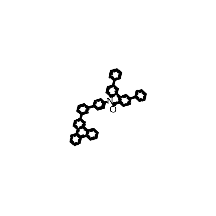 O=c1c2ccc(-c3ccccc3)cc2c2cc(-c3ccccc3)ccc2n1-c1ccc(-c2cccc(-c3ccc4c5ccccc5c5ccccc5c4c3)c2)cc1